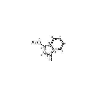 CC(=O)O[n+]1n[nH]c2ccccc21